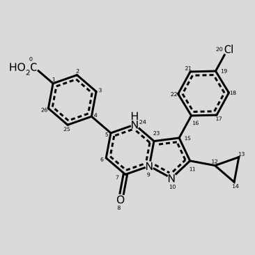 O=C(O)c1ccc(-c2cc(=O)n3nc(C4CC4)c(-c4ccc(Cl)cc4)c3[nH]2)cc1